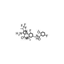 COc1ccc(F)cc1C(=O)NCc1cc(F)c(-n2nc(C(C)C(F)(F)F)c(N)c2C(N)=O)c(F)c1